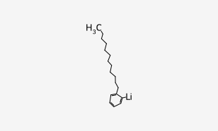 [Li][c]1ccccc1CCCCCCCCCCCC